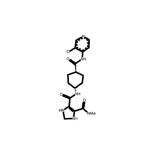 CNC(=O)C1=C(C(=O)N[C@H]2CC[C@H](C(=O)Nc3ccncc3Cl)CC2)NCN1